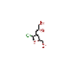 C=C(Cl)[C](CC(Br)CBr)CC(Br)CBr